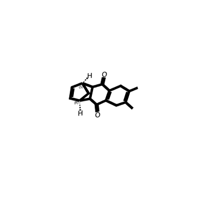 CC1=C(C)CC2=C(C1)C(=O)C1C(C2=O)[C@H]2C=C[C@@H]1C2